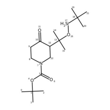 CC(C)(C)OC(=O)N1CCC(=O)C(C(C)(C)O[SiH2]C(C)(C)C)C1